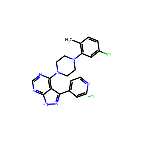 Cc1ccc(Cl)cc1N1CCN(c2ncnc3[nH]nc(-c4ccncc4)c23)CC1.Cl